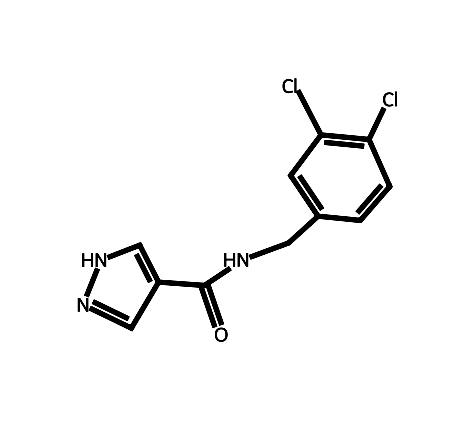 O=C(NCc1ccc(Cl)c(Cl)c1)c1cn[nH]c1